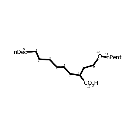 CCCCCCCCCCCCCCCCC(CCOCCCCC)C(=O)O